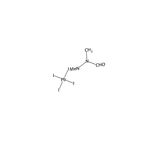 CNN(C)C=O.[I][Pb]([I])([I])[I]